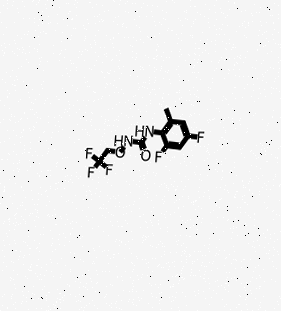 Cc1cc(F)cc(F)c1NC(=O)NOCC(F)(F)F